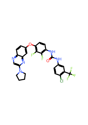 O=C(Nc1ccc(Cl)c(C(F)(F)F)c1)Nc1ccc(Oc2ccc3ncc(N4CCCC4)nc3c2)c(F)c1F